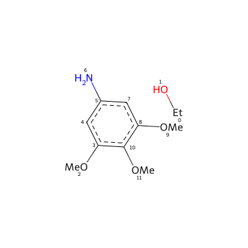 CCO.COc1cc(N)cc(OC)c1OC